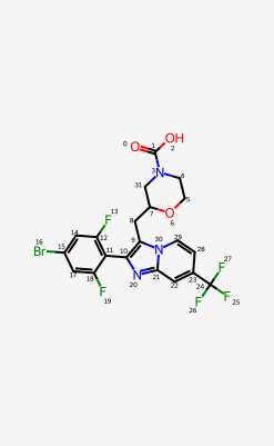 O=C(O)N1CCOC(Cc2c(-c3c(F)cc(Br)cc3F)nc3cc(C(F)(F)F)ccn23)C1